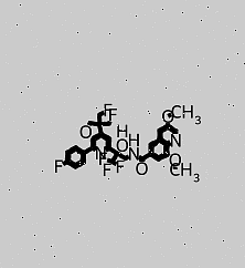 COc1cnc2c(OC)cc(C(=O)NCC(O)(c3cc4c(c(-c5ccc(F)cc5)n3)OCC4(CF)CF)C(F)(F)F)cc2c1